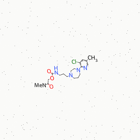 CNC(=O)COC(=O)NCCCN1CCCN(c2ncc(C)cc2Cl)CC1